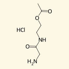 CC(=O)OCCNC(=O)CN.Cl